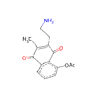 CC(=O)Oc1cccc2c1C(=O)C(CCN)=C(C)C2=O